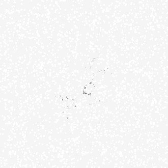 C[SiH](C)OC(c1cc(C(O[SiH](C)C)C(C)(C)C)c(C=O)s1)C(C)(C)C